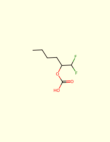 CCCCC(OC(=O)O)C(F)F